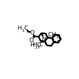 CCOC(=O)C1C[C@]2(C)C3Cc4ccccc4[C@]2(C)CC1N3C